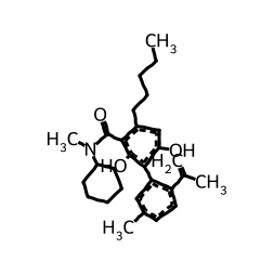 C=C(C)c1ccc(C)cc1-c1c(O)cc(CCCCC)c(C(=O)N(C)C2CCCCC2)c1O